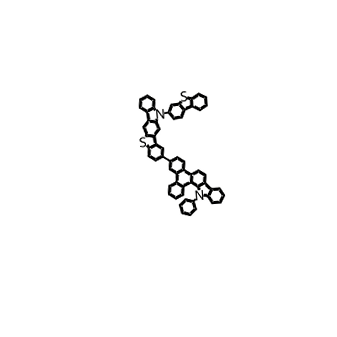 c1ccc(-n2c3ccccc3c3ccc4c5ccc(-c6ccc7sc8cc9c%10ccccc%10n(-c%10ccc%11c(c%10)sc%10ccccc%10%11)c9cc8c7c6)cc5c5ccccc5c4c32)cc1